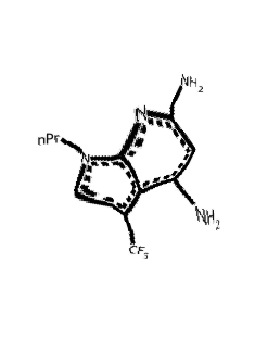 CCCn1cc(C(F)(F)F)c2c(N)cc(N)nc21